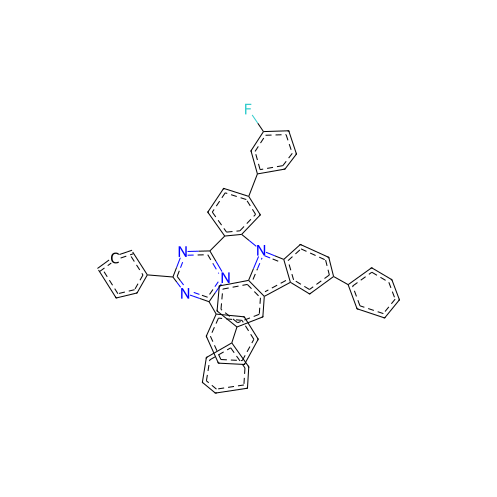 Fc1cccc(-c2ccc(-c3nc(-c4ccccc4)nc(-c4ccccc4)n3)c(-n3c4ccc(-c5ccccc5)cc4c4cc(-c5ccccc5)ccc43)c2)c1